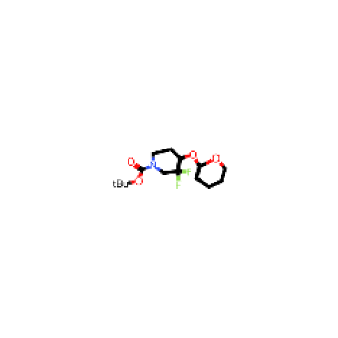 CC(C)(C)OC(=O)N1CCC(OC2CCCCO2)C(F)(F)C1